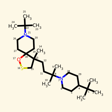 CC(C)(C)C1CCN(C(C)(C)CCC2(C)CSOC23CCN(C(C)(C)C)CC3)CC1